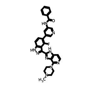 CN1CCN(c2nccc3[nH]c(-c4n[nH]c5ccc(-c6cncc(NC(=O)c7ccccc7)c6)c(F)c45)nc23)CC1